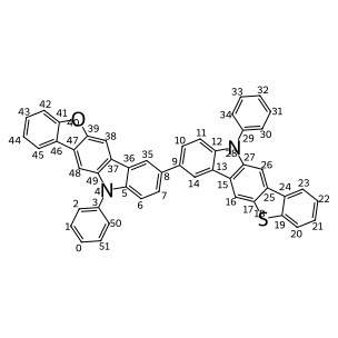 c1ccc(-n2c3ccc(-c4ccc5c(c4)c4cc6sc7ccccc7c6cc4n5-c4ccccc4)cc3c3cc4oc5ccccc5c4cc32)cc1